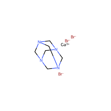 C1N2CN3CN1CN(C2)C3.[Br-].[Br-].[Br-].[Ga+3]